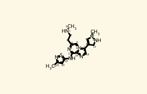 CNCCc1cn2c(C3=CN(C)NC3)cnc2c(Nc2cc(C)ns2)n1